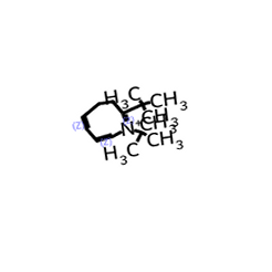 CC(C)(C)/C1=[N+](C(C)(C)C)/C=C\C=C/CC1